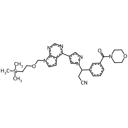 C[Si](C)(C)CCOCn1ccc2c(-c3cnn(C(CC#N)c4cccc(C(=O)N5CCOCC5)c4)c3)ncnc21